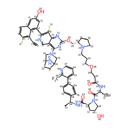 C#Cc1c(F)ccc2cc(O)cc(-c3ncc4c(N5CC6CCC(C5)N6)nc(OC[C@@H]5CCCN5CCCOCCC(=O)N[C@H](C(=O)N5C[C@H](O)C[C@H]5C(=O)N[C@@H](C)c5ccc(-c6cccnc6C(F)(F)F)cc5)C(C)(C)C)nc4c3F)c12